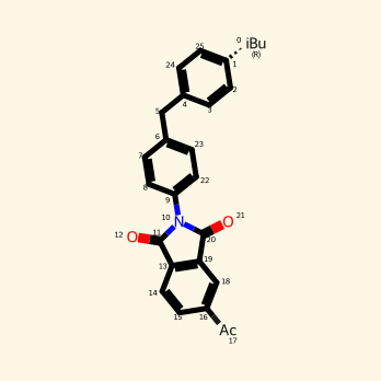 CC[C@@H](C)c1ccc(Cc2ccc(N3C(=O)c4ccc(C(C)=O)cc4C3=O)cc2)cc1